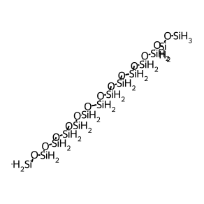 [SiH2]O[SiH2]O[SiH2]O[SiH2]O[SiH2]O[SiH2]O[SiH2]O[SiH2]O[SiH2]O[SiH2]O[SiH2]O[SiH2]O[SiH2]O[SiH3]